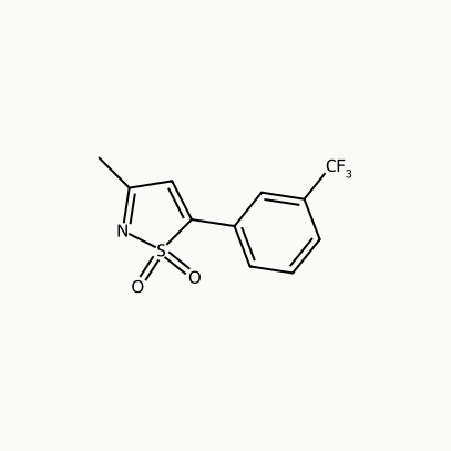 CC1=NS(=O)(=O)C(c2cccc(C(F)(F)F)c2)=C1